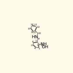 ONc1ccccc1CNCc1ccccc1